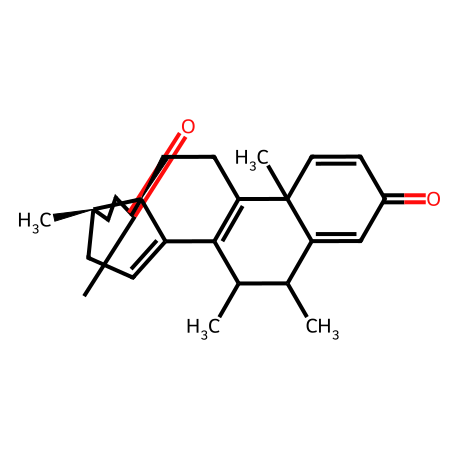 CC1C2=CC(=O)C=CC2(C)C2=C(C3=CC[C@@]4(C)CCC(=O)[C@@]34CC2)C1C